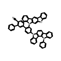 N#Cc1ccc(-c2ccc(-n3c4ccccc4c4c3ccc3c5ccccc5n(-c5ccccc5)c34)cc2-n2c3ccccc3c3cc4c(cc32)oc2ccccc24)cc1-c1ccccc1